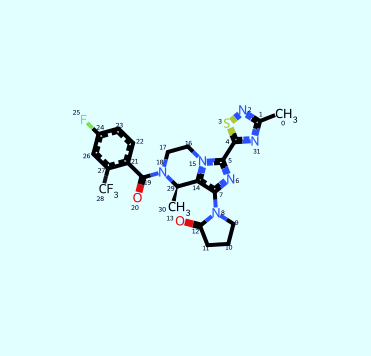 Cc1nsc(-c2nc(N3CCCC3=O)c3n2CCN(C(=O)c2ccc(F)cc2C(F)(F)F)[C@@H]3C)n1